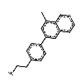 Cc1cc(-c2ccc(CCC#N)cc2)cc2ccncc12